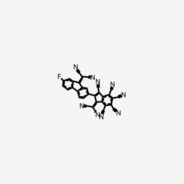 N#CC(C#N)=C1c2cc(F)ccc2-c2ccc(C3=C(C#N)c4c(C#N)c(C#N)c(C#N)c(C#N)c4C3=C(C#N)C#N)cc21